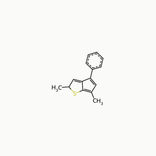 CC1=C2SC(C)C=C2C(c2ccccc2)=C1